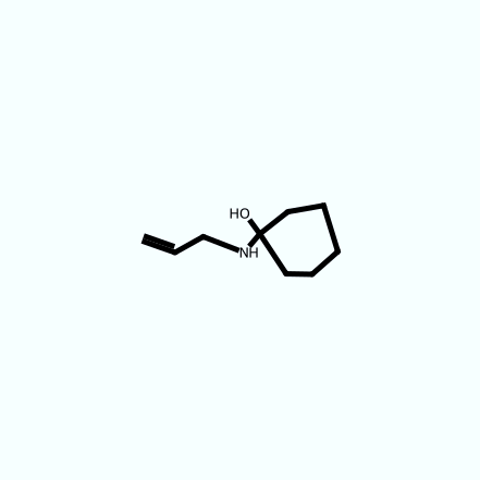 C=CCNC1(O)CCCCC1